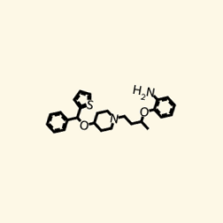 CC(CCN1CCC(OC(c2ccccc2)c2cccs2)CC1)Oc1ccccc1N